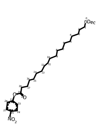 CCCCCCCCCCCCCCCCCCCCCCCCCCCCC(=O)Oc1ccc([N+](=O)[O-])cc1